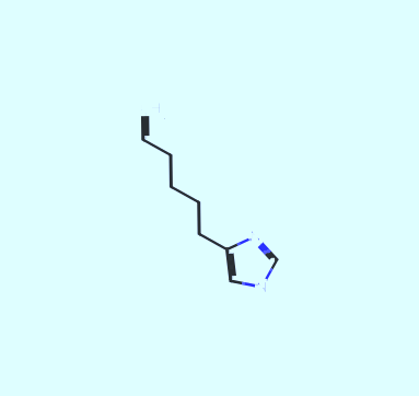 C=C[CH]CCCc1c[nH]cn1